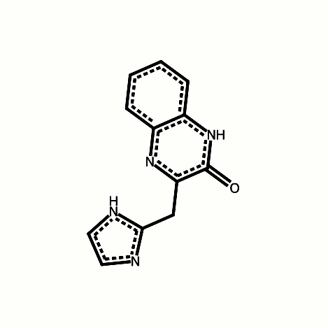 O=c1[nH]c2ccccc2nc1Cc1ncc[nH]1